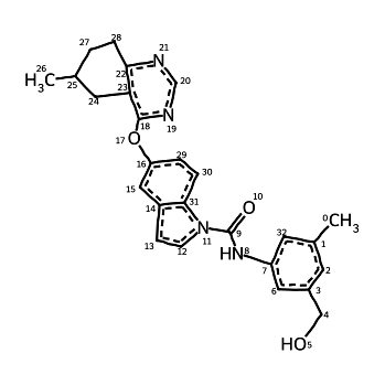 Cc1cc(CO)cc(NC(=O)n2ccc3cc(Oc4ncnc5c4CC(C)CC5)ccc32)c1